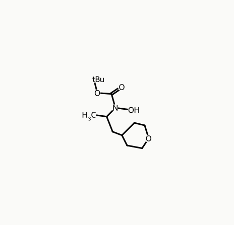 CC(CC1CCOCC1)N(O)C(=O)OC(C)(C)C